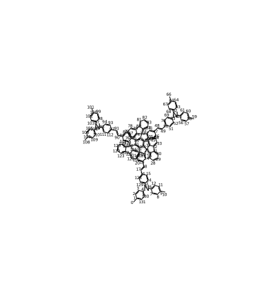 Cc1ccc(N(c2ccc(C)cc2)c2ccc(/C=C/c3ccc4c(c3)C3(c5ccccc5-c5ccccc53)c3c-4c4c(c5c3-c3ccc(/C=C/c6ccc(N(c7ccc(C)cc7)c7ccc(C)cc7)cc6)cc3C53c5ccccc5-c5ccccc53)-c3ccc(/C=C/c5ccc(N(c6ccc(C)cc6)c6ccc(C)cc6)cc5)cc3C43c4ccccc4-c4ccccc43)cc2)cc1